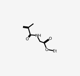 C=C(C)C(=O)NCC(=O)OCC